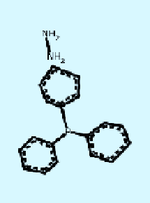 NN.c1ccc(P(c2ccccc2)c2ccccc2)cc1